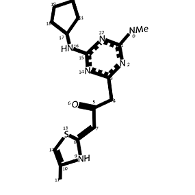 CNc1nc(CC(=O)C=C2NC(C)=CS2)nc(NC2CCCC2)n1